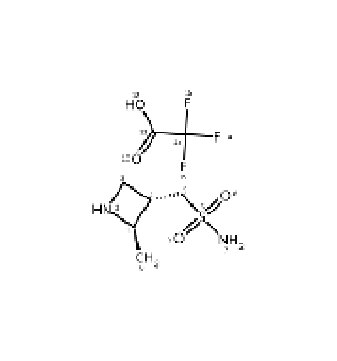 C[C@H]1NC[C@@H]1CS(N)(=O)=O.O=C(O)C(F)(F)F